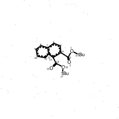 CC(C)(C)OC(=O)c1ccc2ccccc2c1C(=O)OC(C)(C)C